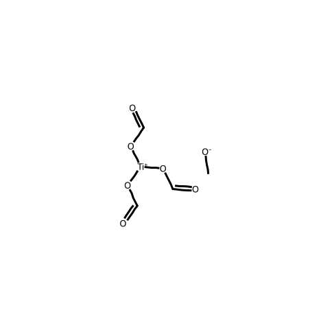 C[O-].O=C[O][Ti+]([O]C=O)[O]C=O